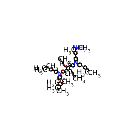 CCCCCCc1cc(-c2ccc(N(c3ccc(-c4ccc(C(C)(CC)CC)cc4)cc3)c3ccc(-c4c(C)cc(CC(C)C)cc4C)cc3)cc2C)c(CCCCCC)cc1-c1ccc(N(c2ccc(-c3ccc(CC(C)C)cc3)cc2)c2ccc(-c3ccc(C(C)(N)CCC)cc3)cc2)cc1C